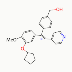 COc1ccc(/C(=C/c2ccncc2)c2ccc(CO)cc2)cc1OC1CCCC1